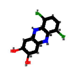 Oc1cc2nc3c(Br)ccc(Br)c3nc2cc1O